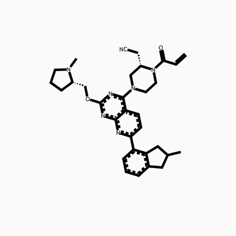 C=CC(=O)N1CCN(c2nc(OC[C@@H]3CCCN3C)nc3nc(-c4cccc5c4CC(C)C5)ccc23)C[C@@H]1CC#N